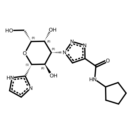 O=C(NC1CCCC1)c1cn([C@H]2[C@@H](O)[C@@H](CO)O[C@@H](c3ncc[nH]3)[C@@H]2O)nn1